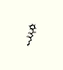 C=CCCC(=O)CC(=O)Nc1ccccc1